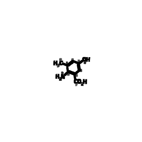 Cc1cc(O)cc(C(=O)O)c1N